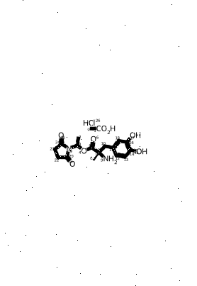 CC(=O)O.CC(OC(=O)[C@@](C)(N)Cc1ccc(O)c(O)c1)N1C(=O)CCC1=O.Cl